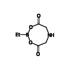 CCB1OC(=O)CNCC(=O)O1